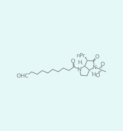 CCC[C@H]1C(=O)N(S(C)(=O)=O)[C@H]2CCN(C(=O)CCCCCCCCC=O)[C@@H]12